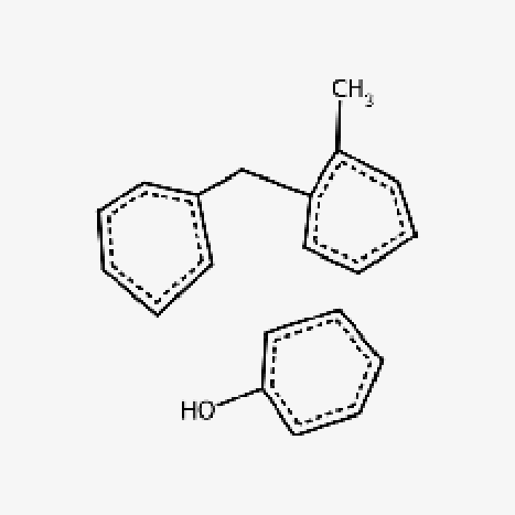 Cc1ccccc1Cc1ccccc1.Oc1ccccc1